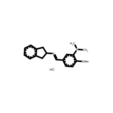 COc1ccc(C=NC2Cc3ccccc3C2)cc1N(C)C.Cl